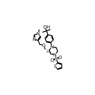 Cn1cnc(COC[C@H]2CN(S(=O)(=O)c3cccs3)CCN2c2ccc(C(C)(C)O)cc2)c1